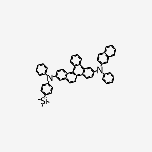 C[Si](C)(C)c1ccc(N(c2ccccc2)c2ccc3c(ccc4c5ccc(N(c6ccccc6)c6ccc7ccccc7c6)cc5c5ccccc5c34)c2)cc1